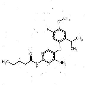 CCCCC(=O)Nc1ncc(Oc2cc(I)c(OC)cc2C(C)C)c(N)n1